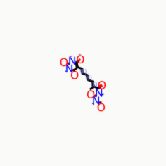 COc1c(/C=C/C=C/C=C(\C)C(=O)N(C)C(=O)N(C)C=O)c(=O)n(C)c(=O)n1C